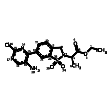 CCOC(=O)[C@@H](C)N1Cc2ccc(-c3nc(Cl)ncc3N)cc2S1(=O)=O